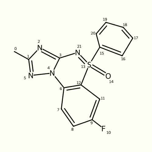 Cc1nc2n(n1)-c1ccc(F)cc1S(=O)(c1ccccc1)=N2